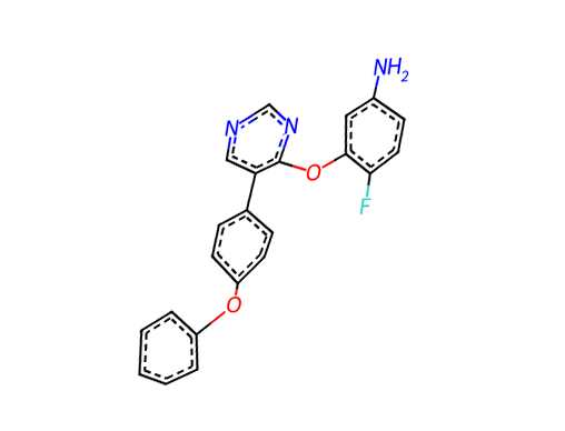 Nc1ccc(F)c(Oc2ncncc2-c2ccc(Oc3ccccc3)cc2)c1